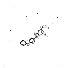 COC(=O)Cc1nc(-c2ccc(Oc3ccccc3)nc2)oc1C